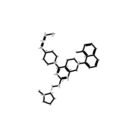 Cc1cccc2cccc(N3CCc4c(nc(OC[C@@H]5CCCN5C)nc4N4CCC(N=C=NC(C)C)CC4)C3)c12